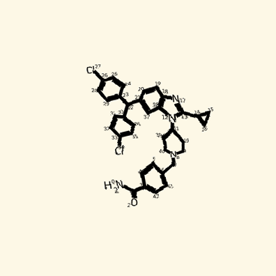 NC(=O)c1ccc(CN2CCC(n3c(C4CC4)nc4ccc(C(c5ccc(Cl)cc5)c5ccc(Cl)cc5)cc43)CC2)cc1